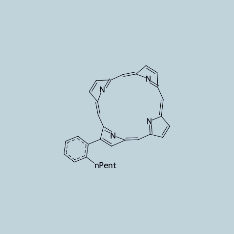 CCCCCc1ccccc1C1=CC2=CC3=NC(=CC4=NC(=CC5=NC(=CC1=N2)C=C5)C=C4)C=C3